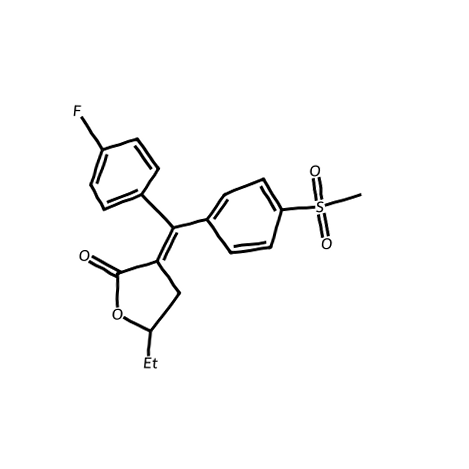 CCC1CC(=C(c2ccc(F)cc2)c2ccc(S(C)(=O)=O)cc2)C(=O)O1